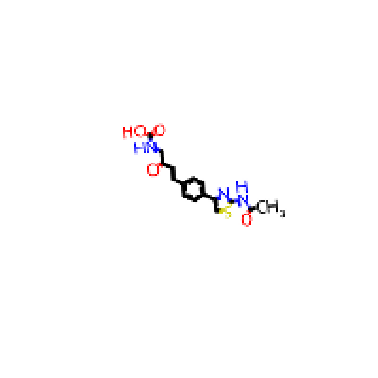 CC(=O)Nc1nc(-c2ccc(CCC(=O)CNC(=O)O)cc2)cs1